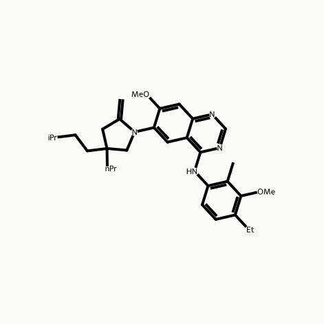 C=C1CC(CCC)(CCC(C)C)CN1c1cc2c(Nc3ccc(CC)c(OC)c3C)ncnc2cc1OC